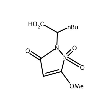 CCCCC(C(=O)O)N1C(=O)C=C(OC)S1(=O)=O